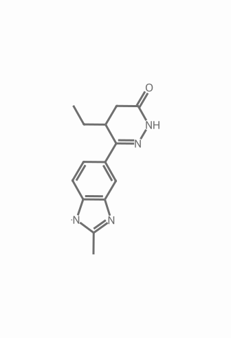 CCC1CC(=O)NN=C1c1ccc2c(c1)N=C(C)[N]2